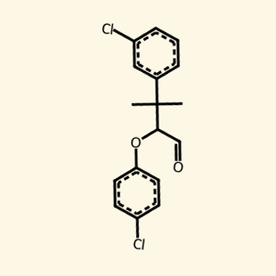 CC(C)(c1cccc(Cl)c1)C(C=O)Oc1ccc(Cl)cc1